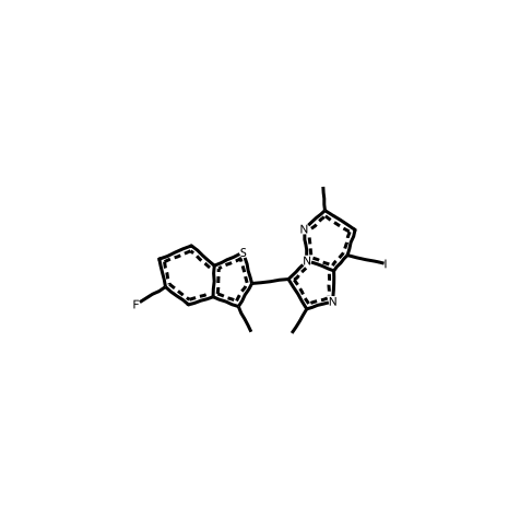 Cc1cc(I)c2nc(C)c(-c3sc4ccc(F)cc4c3C)n2n1